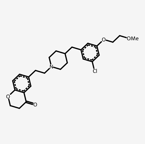 COCCOc1cc(Cl)cc(CC2CCN(CCc3ccc4c(c3)C(=O)CCO4)CC2)c1